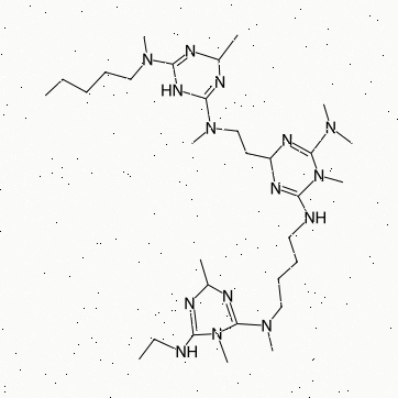 CCCCCN(C)C1=NC(C)N=C(N(C)CCC2N=C(NCCCCN(C)C3=NC(C)N=C(NCC)N3C)N(C)C(N(C)C)=N2)N1